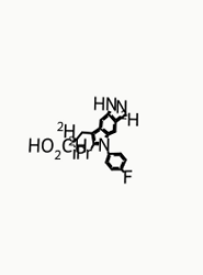 [2H]c1n[nH]c2cc3c(CC([2H])([2H])C(=O)O)c(C(C)C)n(-c4ccc(F)cc4)c3cc12